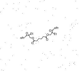 CCCC1OC1(CC)COC(=O)CCCCC(=O)OCC1(CC)OC1CCC